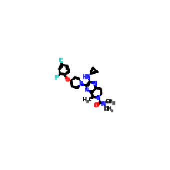 CC1c2nc(N3CCC(Oc4ccc(F)cc4F)CC3)c(NC3CC3)nc2CCN1C(=O)N(C)C